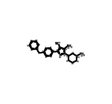 N#Cc1c(-c2ccc(Cc3ccccc3)cc2)nn(C2CCCN(P)C2)c1N